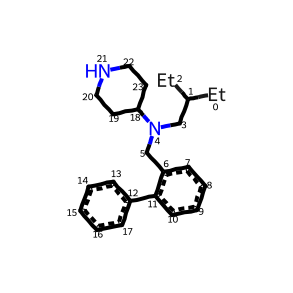 CCC(CC)CN(Cc1ccccc1-c1ccccc1)C1CCNCC1